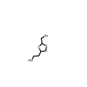 OCCC1CSC(CS)S1